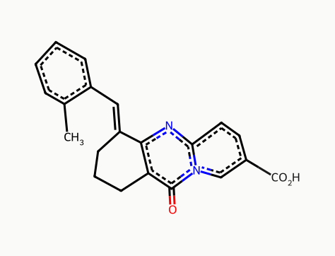 Cc1ccccc1C=C1CCCc2c1nc1ccc(C(=O)O)cn1c2=O